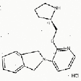 Cl.c1ccc2c(c1)CN(c1cccnc1OC[C@H]1CCCN1)C2